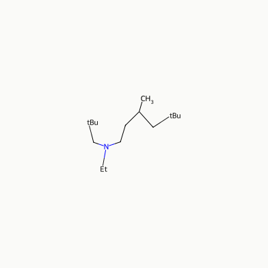 CCN(CCC(C)CC(C)(C)C)CC(C)(C)C